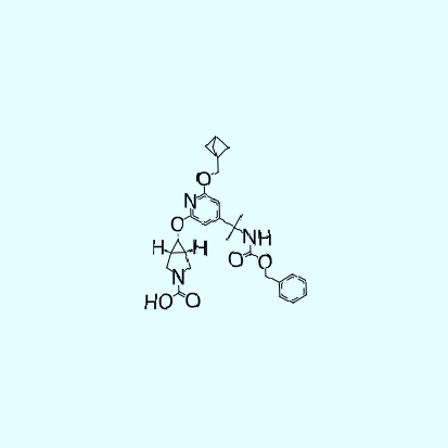 CC(C)(NC(=O)OCc1ccccc1)c1cc(OCC23CC(C2)C3)nc(O[C@@H]2[C@@H]3CN(C(=O)O)C[C@@H]32)c1